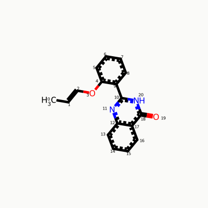 CC=COc1ccccc1-c1nc2ccccc2c(=O)[nH]1